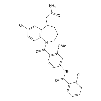 COc1cc(NC(=O)c2ccccc2Cl)ccc1C(=O)N1CCCC(CC(N)=O)c2cc(Cl)ccc21